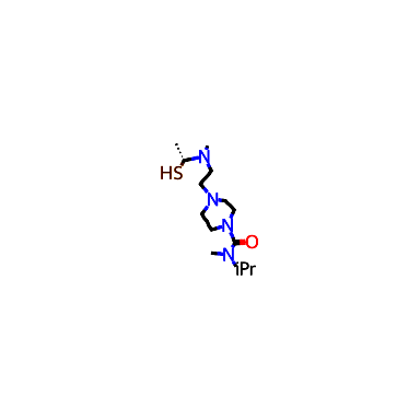 CC(C)N(C)C(=O)N1CCN(CCN(C)[C@@H](C)S)CC1